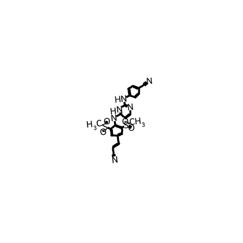 CS(=O)(=O)c1cc(C=CC#N)cc(S(C)(=O)=O)c1Nc1ccnc(Nc2ccc(C#N)cc2)n1